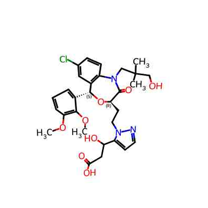 COc1cccc([C@H]2O[C@H](CCn3nccc3C(O)CC(=O)O)C(=O)N(CC(C)(C)CO)c3ccc(Cl)cc32)c1OC